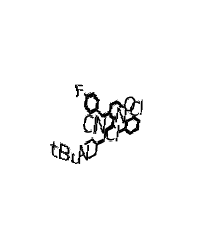 CC(C)(C)N1CCC(=Cc2cc3c(ccc(=O)n3-c3c(Cl)cccc3Cl)c(-c3ccc(F)cc3Cl)n2)CC1